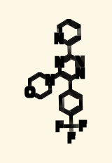 FC(F)(F)c1ccc(-c2nnc(-c3ccccn3)nc2N2CCOCC2)cc1